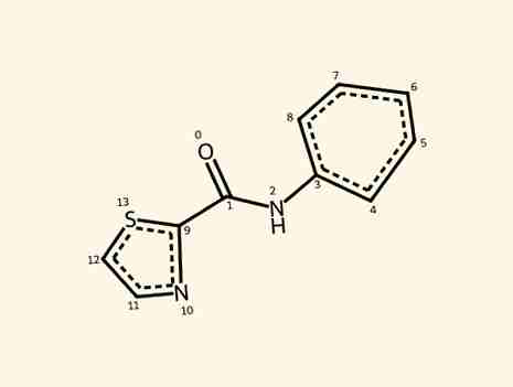 O=C(Nc1ccccc1)c1nccs1